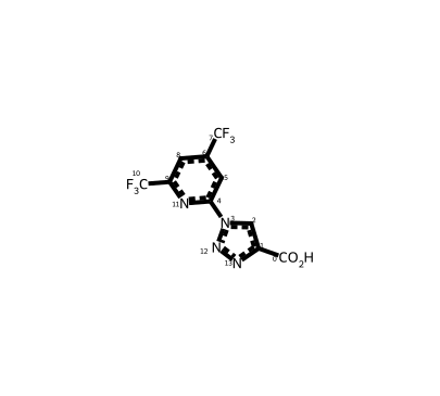 O=C(O)c1cn(-c2cc(C(F)(F)F)cc(C(F)(F)F)n2)nn1